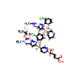 CN(Cc1cc(S(=O)(=O)c2cccnc2)n(-c2ccccc2Cl)n1)C(=O)OC(C)(C)C.CNCc1cc(S(=O)(=O)c2cccnc2)n(-c2ccccc2Cl)n1.O=C(O)/C=C/C(=O)O